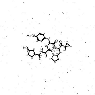 COc1ccc(CC(NC(=O)C(C)NC(=O)C2CCC(O)C2)C(=O)NC(CC2CCCC2)C(=O)C2(C)CO2)cc1